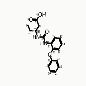 CC[C@@H](CC(=O)O)NC(=O)Nc1ccccc1Oc1ccccc1